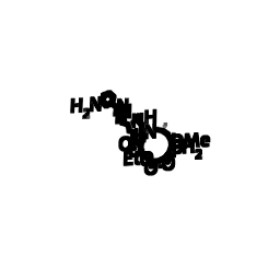 B[C@@H]1[C@@H](C)C(=O)[C@@H](C)C(=O)O[C@H](CC)[C@@]2(C)OC(=O)N(CCCCn3cc(-c4cccc(N)c4)nn3)[C@@H]2[C@@H](CCN(C)C)NC[C@H](C)C[C@@]1(C)OC